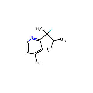 Cc1ccnc(C(C)(F)C(C)C)c1